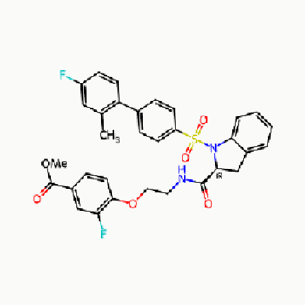 COC(=O)c1ccc(OCCNC(=O)[C@@H]2Cc3ccccc3N2S(=O)(=O)c2ccc(-c3ccc(F)cc3C)cc2)c(F)c1